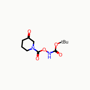 CC(C)(C)OC(=O)NOC(=O)N1CCCC(=O)C1